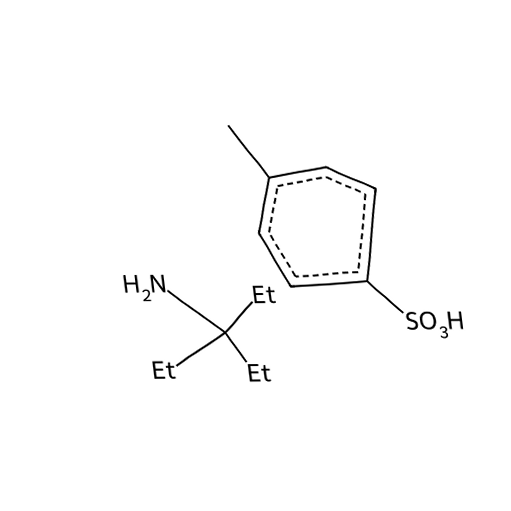 CCC(N)(CC)CC.Cc1ccc(S(=O)(=O)O)cc1